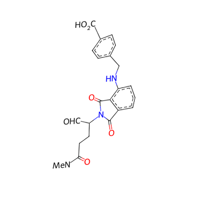 CNC(=O)CCC(C=O)N1C(=O)c2cccc(NCc3ccc(C(=O)O)cc3)c2C1=O